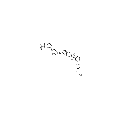 CC(C)(CN)c1ccc(-c2cccc(S(=O)(=O)N3CCC4(CC3)CC(NCC(O)COc3cccc(S(=O)(=O)C5(CO)CC5)c3)CO4)c2)cc1